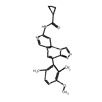 COc1ccc(C)c(-c2cc3cnc(NC(=O)C4CC4)cc3n3cnnc23)c1C